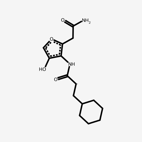 NC(=O)Cc1occ(O)c1NC(=O)[CH]CC1CCCCC1